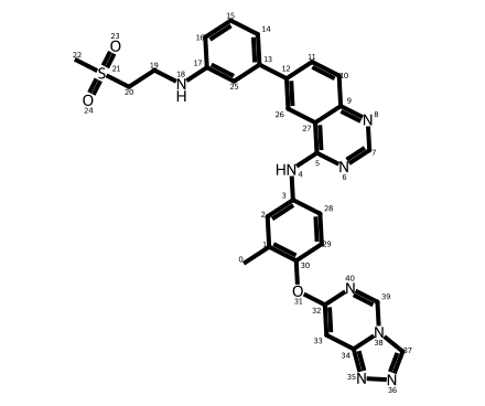 Cc1cc(Nc2ncnc3ccc(-c4cccc(NCCS(C)(=O)=O)c4)cc23)ccc1Oc1cc2nncn2cn1